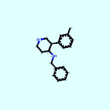 Cc1cccc(C2CNCCC2NCc2ccccc2)c1